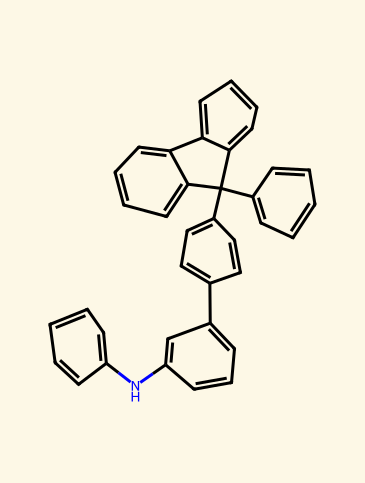 c1ccc(Nc2cccc(-c3ccc(C4(c5ccccc5)c5ccccc5-c5ccccc54)cc3)c2)cc1